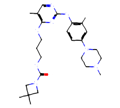 CCc1cc(N2CCN(C)CC2)ccc1Nc1ncc(C(F)(F)F)c(NCCCNC(=O)N2CC(C)(C)C2)n1